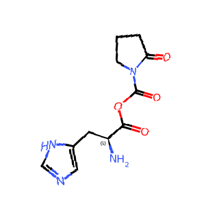 N[C@@H](Cc1cnc[nH]1)C(=O)OC(=O)N1CCCC1=O